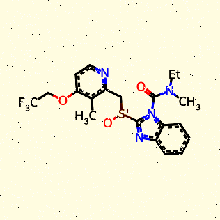 [CH2]CN(C)C(=O)n1c([S+]([O-])Cc2nccc(OCC(F)(F)F)c2C)nc2ccccc21